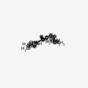 COC(=O)N[C@H](C(=O)N1CCC[C@H]1c1ncc(C#Cc2ccc(-c3ccc(-c4cnc([C@@H]5CCCN5C(=O)[C@H](NC(=O)OC)C(C)C)[nH]4)cc3)c3c2C2CCC3N2C)[nH]1)C(C)C